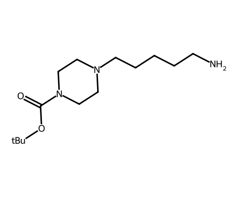 CC(C)(C)OC(=O)N1CCN(CCCCCN)CC1